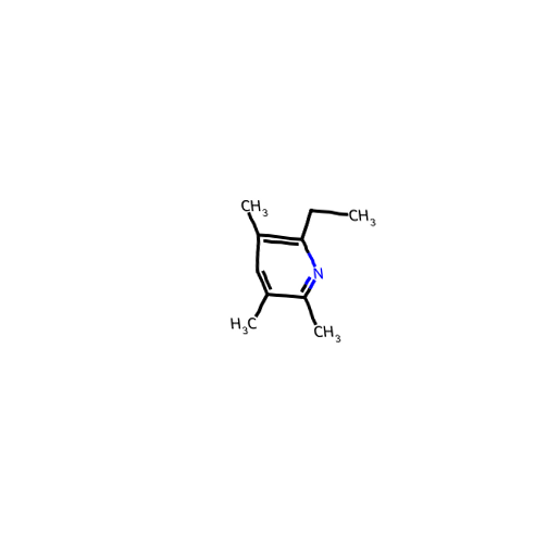 CCc1nc(C)c(C)cc1C